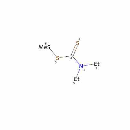 CCN(CC)C(=S)SSC